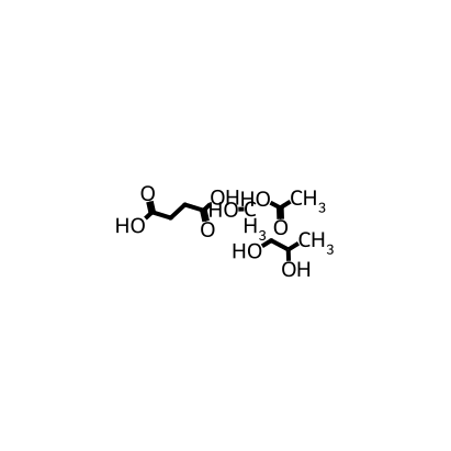 CC(=O)O.CC(O)CO.CO.O=C(O)CCC(=O)O